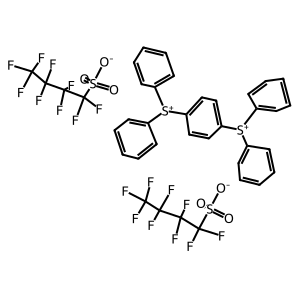 O=S(=O)([O-])C(F)(F)C(F)(F)C(F)(F)C(F)(F)F.O=S(=O)([O-])C(F)(F)C(F)(F)C(F)(F)C(F)(F)F.c1ccc([S+](c2ccccc2)c2ccc([S+](c3ccccc3)c3ccccc3)cc2)cc1